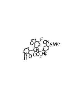 CSc1cc(F)c(Cn2c(C(=O)O)c(-c3ccc[nH]c3=O)c3c4occc4c(F)cc32)cc1C#N